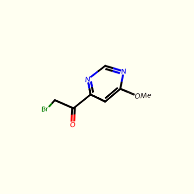 COc1cc(C(=O)CBr)ncn1